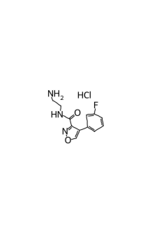 Cl.NCCNC(=O)c1nocc1-c1cccc(F)c1